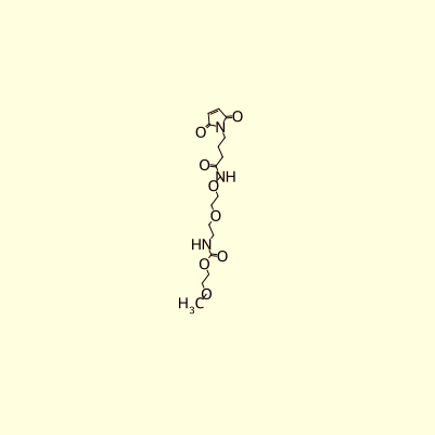 COCCOC(=O)NCCOCCONC(=O)CCCN1C(=O)C=CC1=O